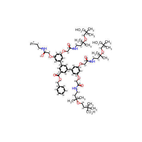 CC(C)CCNC(=O)COc1cc(OCC(=O)NCCC(C)(C)OCC(C)(C)C(=O)O)cc(-c2cc(C(=O)OCc3ccccc3)cc(-c3cc(OCC(=O)NCCC(C)(C)OCCC(C)(C)C(=O)O)cc(OCC(=O)NCCC(C)(C)OCC(C)(C)C(=O)O)c3)c2)c1